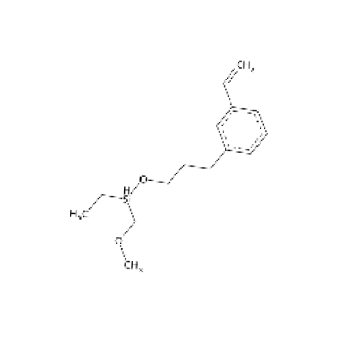 C=Cc1cccc(CCCO[SiH](CC)COC)c1